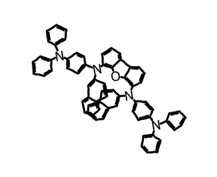 c1ccc(N(c2ccccc2)c2ccc(N(c3ccc4ccccc4c3)c3cccc4c3oc3c(N(c5ccc(N(c6ccccc6)c6ccccc6)cc5)c5ccc6ccccc6c5)cccc34)cc2)cc1